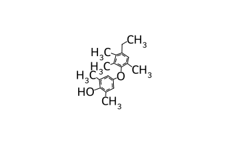 CCc1cc(C)c(Oc2cc(C)c(O)c(C)c2)c(C)c1C